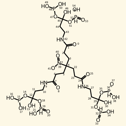 O=C(CCC(CCC(=O)NCCC(O)(OP(O)O)O[PH](=O)O)(CCC(=O)NCCC(O)(O[PH](=O)O)O[PH](=O)O)[N+](=O)[O-])NCCC(O)(OP(O)O)O[PH](=O)O